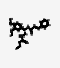 CCCC(=O)NC[C@@H](OC(=O)C=Cc1ccccc1)c1ccc(OC)c(OC)c1